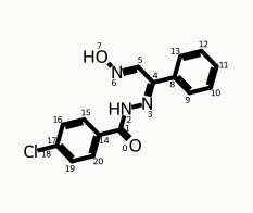 O=C(NN=C(C=NO)c1ccccc1)c1ccc(Cl)cc1